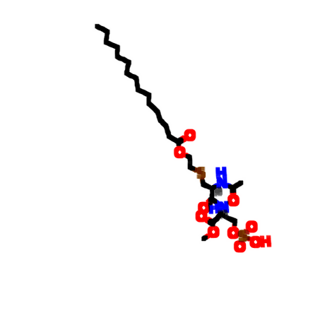 CCCCCCCCCCCCCCCC(=O)OCCSC[C@@H](NC(C)=O)C(=O)N[C@@H](COS(=O)(=O)O)C(=O)OC